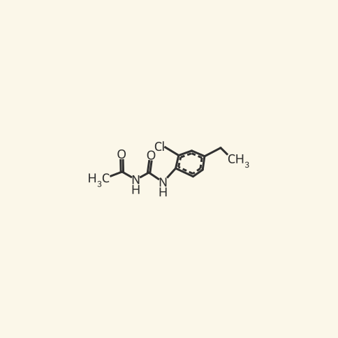 CCc1ccc(NC(=O)NC(C)=O)c(Cl)c1